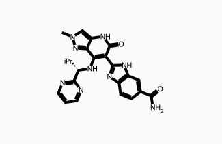 CC(C)[C@H](Nc1c(-c2nc3ccc(C(N)=O)cc3[nH]2)c(=O)[nH]c2cn(C)nc12)c1ncccn1